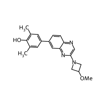 COC1CN(c2cnc3ccc(-c4cc(C)c(O)c(C)c4)cc3n2)C1